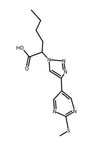 CCCCC(C(=O)O)n1cc(-c2cnc(SC)nc2)nn1